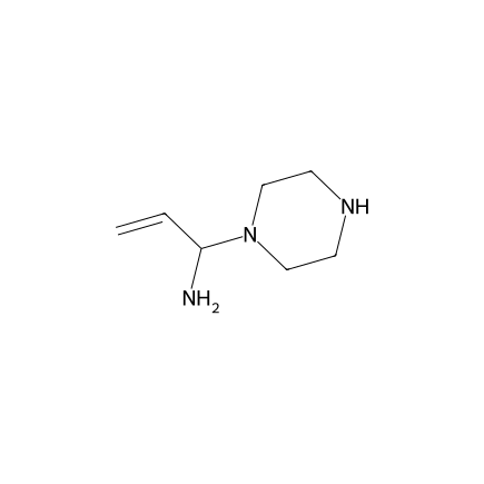 C=CC(N)N1CCNCC1